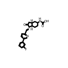 O=C(O)NC1CC[C@@H]2[C@H](CC(=O)[C@H]2C=Cc2ccc(-c3cccc(F)c3)cn2)C1